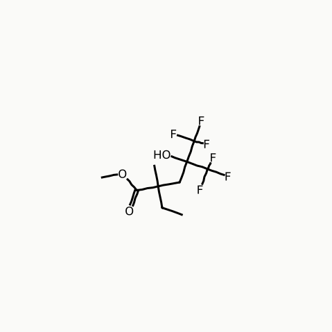 CCC(C)(CC(O)(C(F)(F)F)C(F)(F)F)C(=O)OC